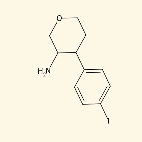 NC1COCCC1c1ccc(I)cc1